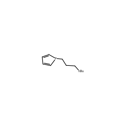 CCCCCCCp1[c]ccc1